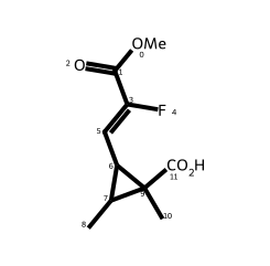 COC(=O)C(F)=CC1C(C)C1(C)C(=O)O